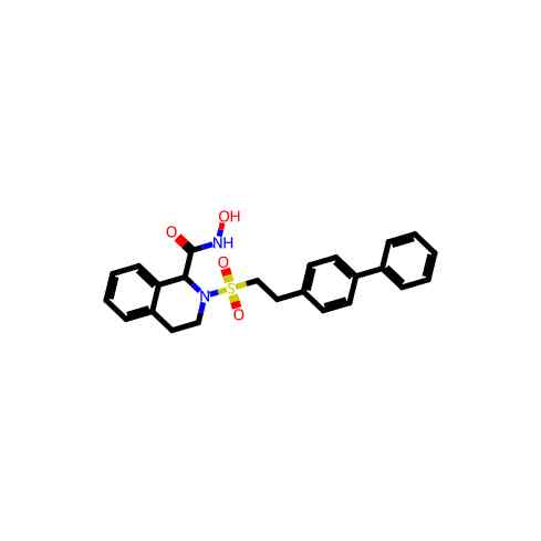 O=C(NO)C1c2ccccc2CCN1S(=O)(=O)CCc1ccc(-c2ccccc2)cc1